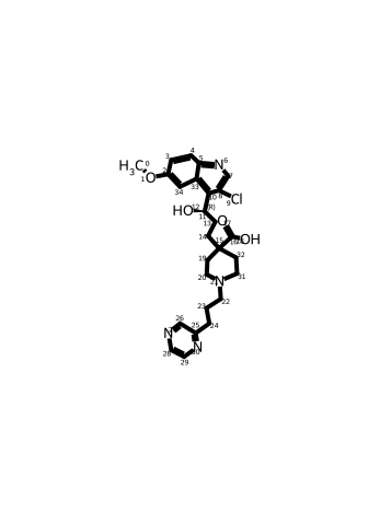 COc1ccc2ncc(Cl)c([C@H](O)CCC3(C(=O)O)CCN(CCCc4cnccn4)CC3)c2c1